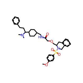 COc1ccc(S(=O)(=O)N2Cc3ccccc3CC2COCC(=O)NCC2CCC(C(CCc3ccccc3)N(C)C)CC2)cc1